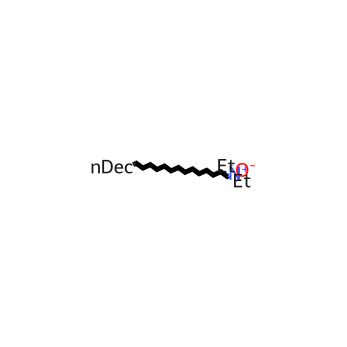 CCCCCCCCCCCCCCCCCCCCCCCC[N+]([O-])(CC)CC